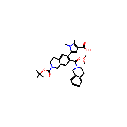 COC[C@@H]1Cc2ccccc2CN1C(=O)c1cc2c(cc1-c1cc(C(=O)O)c(C)n1C)CCN(C(=O)OC(C)(C)C)C2